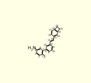 Cc1ccc(N)cc1-c1cccc(/C=C/c2ccc3c(c2)CC3)c1